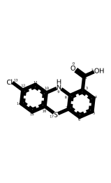 O=C(O)c1cccc2c1Nc1cc(Cl)ccc1S2